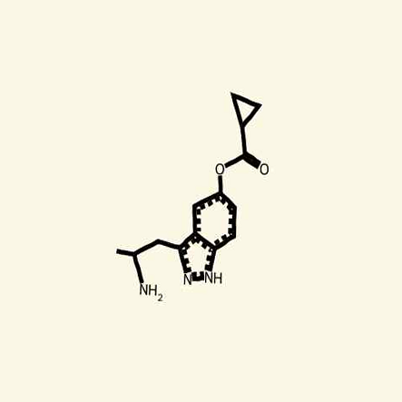 CC(N)Cc1n[nH]c2ccc(OC(=O)C3CC3)cc12